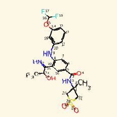 CC1(NC(=O)c2ccc(Nc3cccc(OC(F)F)c3)c(C(=N)C(O)C(F)(F)F)c2)CS(=O)(=O)C1